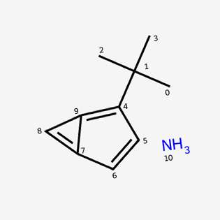 CC(C)(C)c1ccc2cc1-2.N